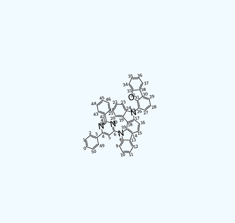 c1ccc(-c2cc(-n3c4ccccc4c4ccc5c(c6ccccc6n5-c5cccc6c5oc5ccccc56)c43)nc(-c3ccccc3)n2)cc1